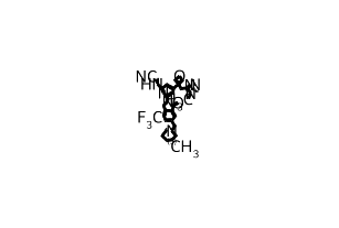 C[C@H]1CCCN(Cc2cc3c(c(C(F)(F)F)c2)CN(c2cc(C4(Cc5nncn5C)COC4)cc(NCC#N)n2)C3=O)C1